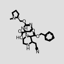 CN1CCC[C@H]1COC1=NC=C[C@@](C(=O)O)(N2CCNC(CC#N)C2C(=O)OCc2ccccc2)N1